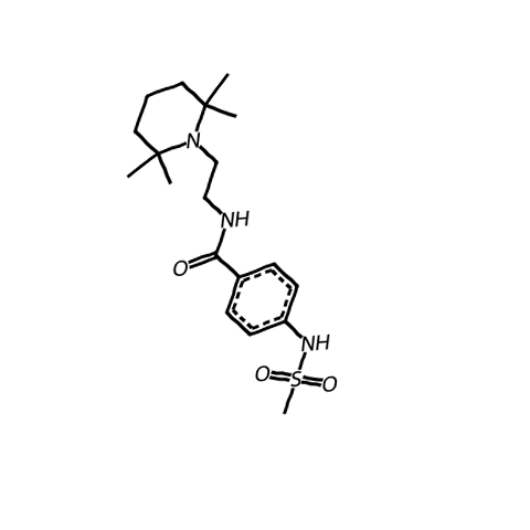 CC1(C)CCCC(C)(C)N1CCNC(=O)c1ccc(NS(C)(=O)=O)cc1